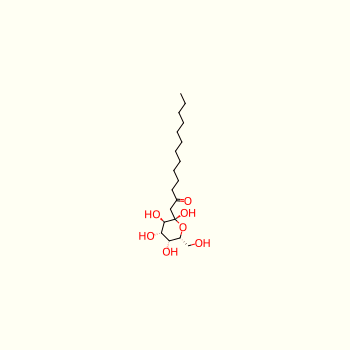 CCCCCCCCCCCC(=O)C[C@]1(O)O[C@H](CO)[C@H](O)[C@H](O)[C@H]1O